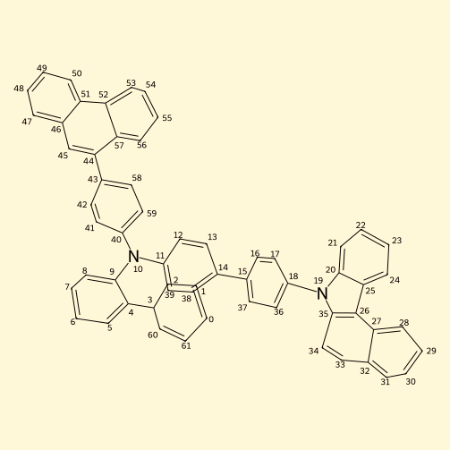 C1=CCC(c2ccccc2N(c2ccc(-c3ccc(-n4c5ccccc5c5c6ccccc6ccc54)cc3)cc2)c2ccc(-c3cc4ccccc4c4ccccc34)cc2)C=C1